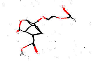 COC(=O)C1C2CC3C(OC(=O)C31)C2OCCOC(C)=O